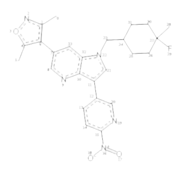 Cc1noc(C)c1-c1cnc2c(-c3ccc([N+](=O)[O-])nc3)cn(CC3CCC(C)(F)CC3)c2c1